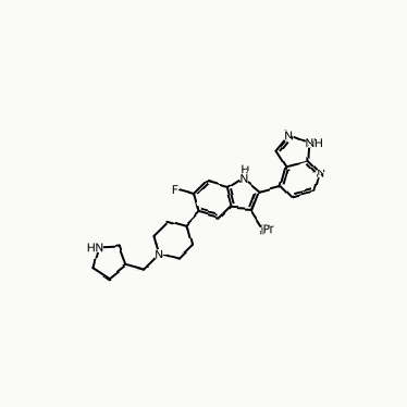 CC(C)c1c(-c2ccnc3[nH]ncc23)[nH]c2cc(F)c(C3CCN(CC4CCNC4)CC3)cc12